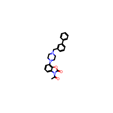 CC(=O)n1c(=O)oc2c(N3CCN(Cc4cccc(-c5ccccc5)c4)CC3)cccc21